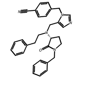 N#Cc1ccc(Cn2cncc2CN(CCc2ccccc2)[C@@H]2CCN(Cc3ccccc3)C2=O)cc1